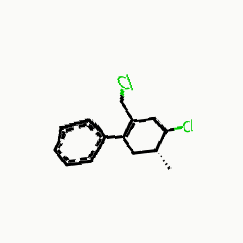 C[C@@H]1CC(c2ccccc2)=C(CCl)CC1Cl